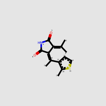 CC(C)=C1C(=O)NC(=O)/C1=C(\C)c1ccsc1C